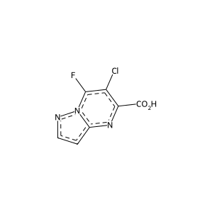 O=C(O)c1nc2ccnn2c(F)c1Cl